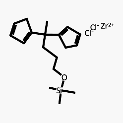 CC(CCCO[Si](C)(C)C)(C1=CC=CC1)C1=CC=CC1.[Cl-].[Cl-].[Zr+2]